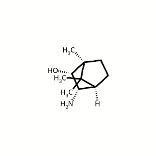 CC1(C)[C@H]2CC[C@]1(C)[C@@H](O)[C@H]2N